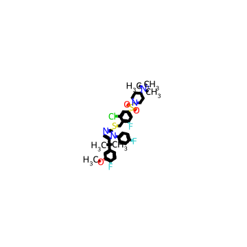 COc1cc(C(C)(C)c2cnc(SCc3c(F)cc(S(=O)(=O)N4CCC([N+](C)(C)C)CC4)cc3Cl)n2-c2ccc(F)cc2)ccc1F